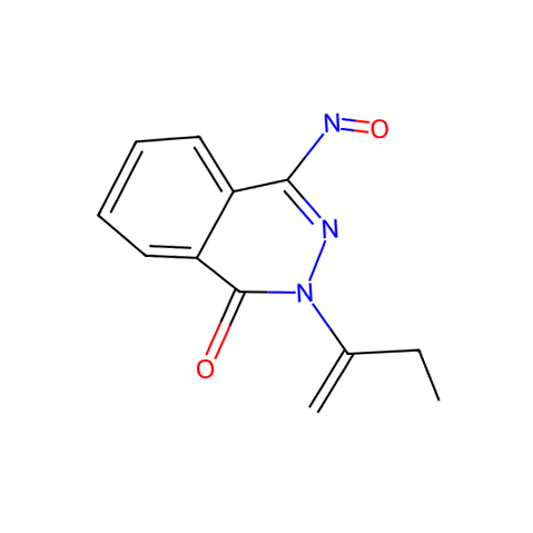 C=C(CC)n1nc(N=O)c2ccccc2c1=O